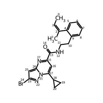 C/C=C(/C)c1ccccc1CCNC(=O)c1cc(C2CC2)n2nc(Br)cc2n1